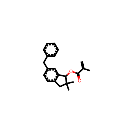 C=C(C)C(=O)OC1c2cc(Cc3ccccc3)ccc2CC1(C)C